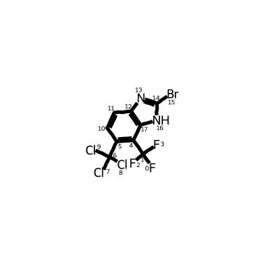 FC(F)(F)c1c(C(Cl)(Cl)Cl)ccc2nc(Br)[nH]c12